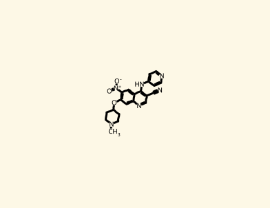 CN1CCC(Oc2cc3ncc(C#N)c(Nc4ccncc4)c3cc2[N+](=O)[O-])CC1